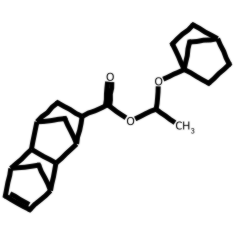 CC(OC(=O)C1CC2CC1C1C3C=CC(C3)C21)OC12CCC(CC1)C2